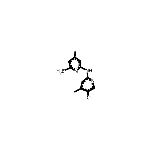 Bc1cc(C)cc(Nc2cc(C)c(Cl)cn2)n1